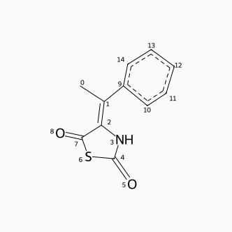 CC(=C1NC(=O)SC1=O)c1ccccc1